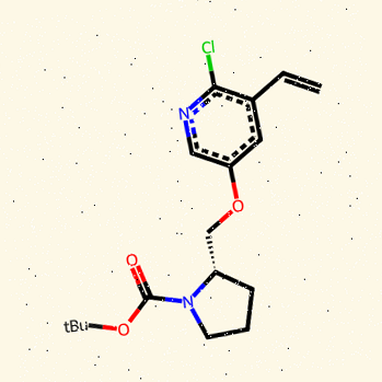 C=Cc1cc(OC[C@@H]2CCCN2C(=O)OC(C)(C)C)cnc1Cl